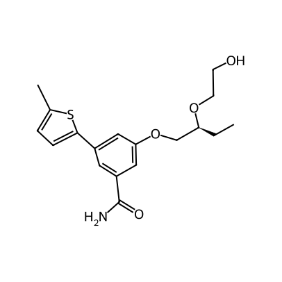 CC[C@@H](COc1cc(C(N)=O)cc(-c2ccc(C)s2)c1)OCCO